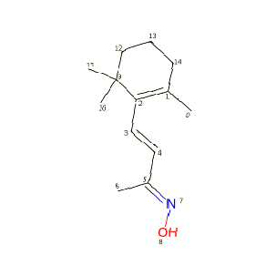 CC1=C(/C=C/C(C)=N/O)C(C)(C)CCC1